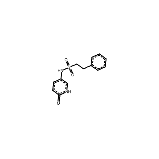 O=c1ccc(NS(=O)(=O)CCc2ccccc2)c[nH]1